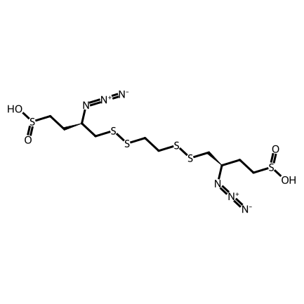 [N-]=[N+]=N[C@H](CCS(=O)O)CSSCCSSC[C@@H](CCS(=O)O)N=[N+]=[N-]